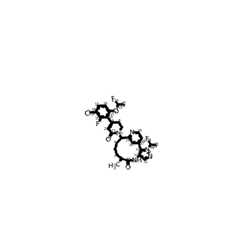 CC1CCCC(N2CCC(c3c(OC(F)F)ccc(Cl)c3F)=CC2=O)c2cc(ccn2)-c2c(cnn2C(F)F)NC1=O